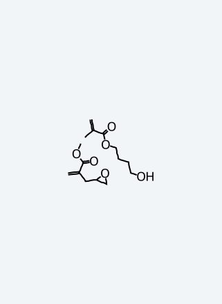 C=C(C)C(=O)OCCCCO.C=C(CC1CO1)C(=O)OC